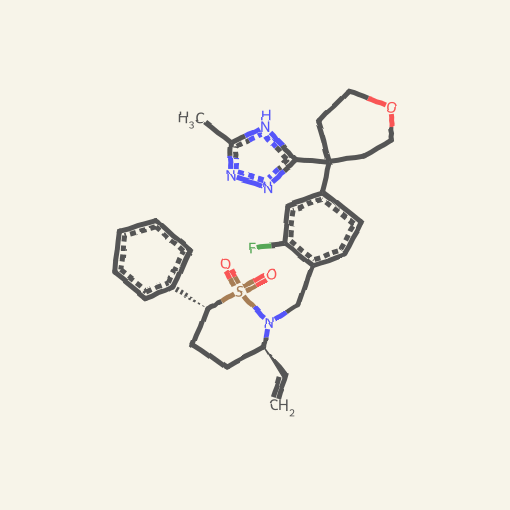 C=C[C@H]1CC[C@H](c2ccccc2)S(=O)(=O)N1Cc1ccc(C2(c3nnc(C)[nH]3)CCOCC2)cc1F